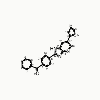 O=C(c1ccccc1)c1ccc(-c2nc3ncc(-c4cccs4)cc3[nH]2)cc1